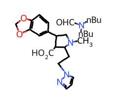 CCCCN(C=O)CCCC.CN1CC(c2ccc3c(c2)OCO3)C(C(=O)O)C1CCn1cccn1